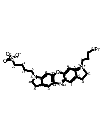 CC(C)CCC[N+]1=c2cc3c(cc2CC1)=Nc1cc2c(cc1O3)N(CCCCS(=O)(=O)[O-])CC2